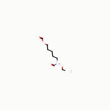 CCON(C=O)CCCCCOC=O